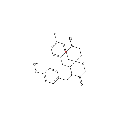 CCCOc1ccc(CN2C(=O)COC3(CCN(CC)CC3)C2Cc2ccc(F)cc2)cc1